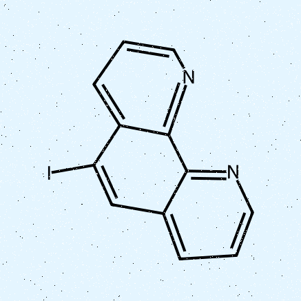 Ic1cc2cccnc2c2ncccc12